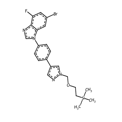 C[Si](C)(C)CCOCn1cc(-c2ccc(-n3cnc4c(F)cc(Br)cc43)cc2)cn1